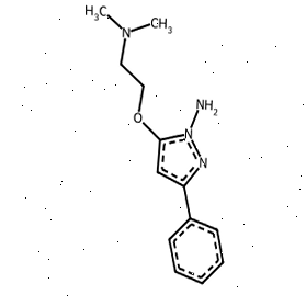 CN(C)CCOc1cc(-c2ccccc2)nn1N